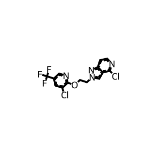 FC(F)(F)c1cnc(OCCn2cc3c(Cl)nccc3n2)c(Cl)c1